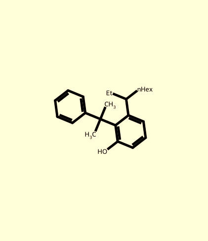 CCCCCCC(CC)c1cccc(O)c1C(C)(C)c1ccccc1